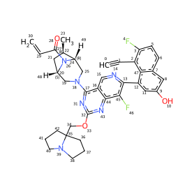 C#Cc1c(F)ccc2cc(O)cc(-c3ncc4c(N5C[C@@H]6C[C@@H](C)[C@H](C5)N6C(=O)C=C)nc(OCC56CCCN5CCC6)nc4c3F)c12